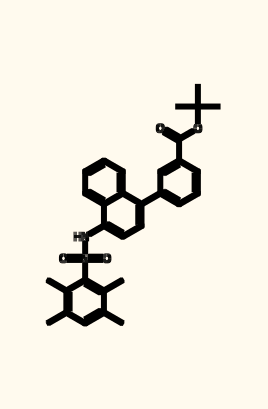 Cc1cc(C)c(C)c(S(=O)(=O)Nc2ccc(-c3cccc(C(=O)OC(C)(C)C)c3)c3ccccc23)c1C